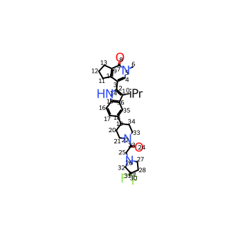 CC(C)c1c(-c2cn(C)c(=O)c3c2CCC3)[nH]c2ccc(C3CCN(C(=O)CN4CCC(F)(F)C4)CC3)cc12